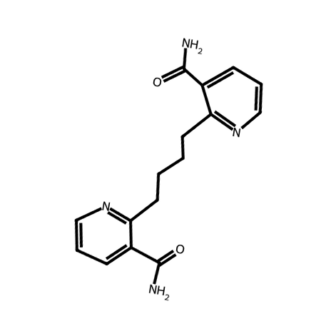 NC(=O)c1cccnc1CCCCc1ncccc1C(N)=O